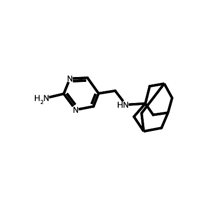 Nc1ncc(CNC23CC4CC(CC(C4)C2)C3)cn1